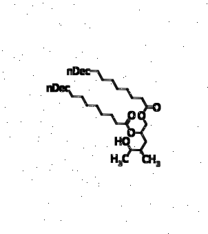 CCCCCCCCCCCCCCCCCC(=O)OCC(C[C](C)C(C)O)OC(=O)CCCCCCCCCCCCCCCCC